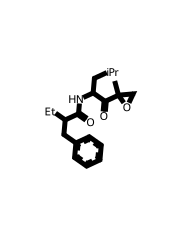 CCC(Cc1ccccc1)C(=O)NC(CC(C)C)C(=O)C1(C)CO1